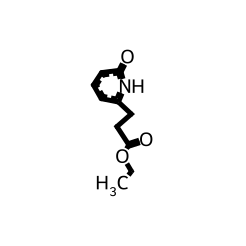 CCOC(=O)CCc1cccc(=O)[nH]1